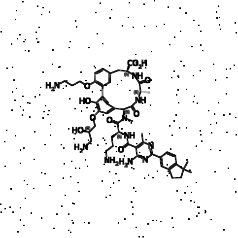 Cc1nc(-c2ccc3c(c2)CCC3(C)C)nc(N)c1C(=O)N[C@@H](CCCN)C(=O)N(C)[C@@H]1C(=O)N[C@@H](C)C(=O)N[C@H](C(=O)O)Cc2ccc(OCCCN)c(c2)-c2cc1cc(OC[C@H](O)CN)c2O